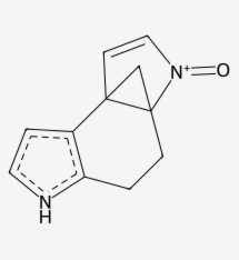 O=[N+]1C=CC23CC12CCc1[nH]ccc13